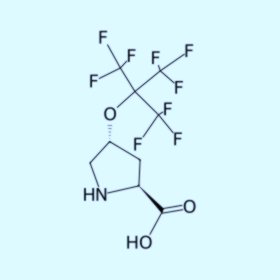 O=C(O)[C@@H]1C[C@@H](OC(C(F)(F)F)(C(F)(F)F)C(F)(F)F)CN1